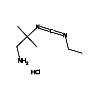 CCN=C=NC(C)(C)CN.Cl